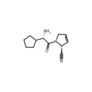 N#C[C@@H]1C=CCN1C(=O)[C@@H](N)C1CCCC1